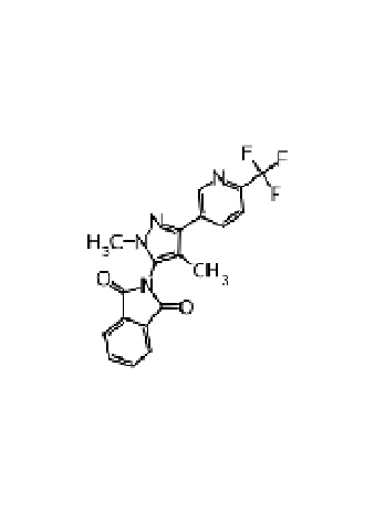 Cc1c(-c2ccc(C(F)(F)F)nc2)nn(C)c1N1C(=O)c2ccccc2C1=O